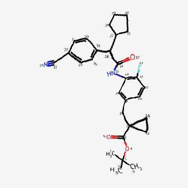 CC(C)(C)OC(=O)C1(Cc2ccc(F)c(NC(=O)C(c3ccc(C#N)cc3)C3CCCC3)c2)CC1